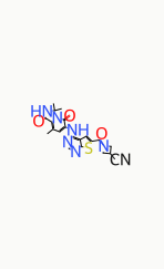 Cc1cc(Nc2ncnc3sc(C(=O)N4CC(C#N)C4)cc23)c(=O)n2c1C(=O)NC2(C)C